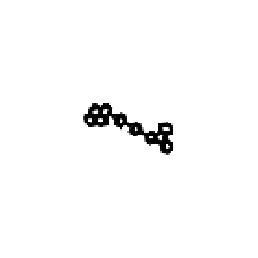 c1cc2ccc3ccc(-c4ccc(-c5ccc(-c6ccc7c8ccccc8c8ccccc8c7c6)cc5)cc4)c4ccc(c1)c2c34